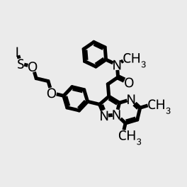 Cc1cc(C)n2nc(-c3ccc(OCCOSI)cc3)c(CC(=O)N(C)c3ccccc3)c2n1